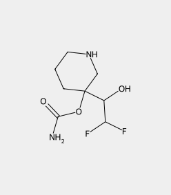 NC(=O)OC1(C(O)C(F)F)CCCNC1